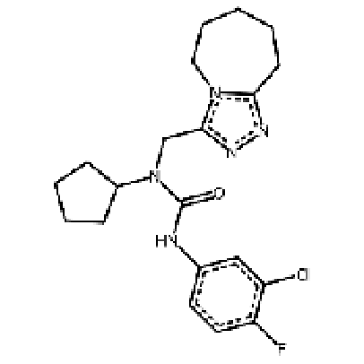 O=C(Nc1ccc(F)c(Cl)c1)N(Cc1nnc2n1CCCCC2)C1CCCC1